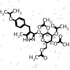 CC(=O)OC[C@H]1O[C@@H](Oc2n[nH]c(C)c2Cc2ccc(OC(C)C)cc2)[C@H](OC(C)=O)[C@@H](OC(C)=O)[C@@H]1OC(C)=O